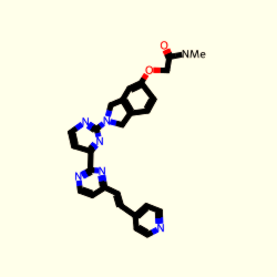 CNC(=O)COc1ccc2c(c1)CN(c1nccc(-c3nccc(/C=C/c4ccncc4)n3)n1)C2